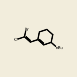 CCCCC1C=C(C=C(Cl)Br)CCC1